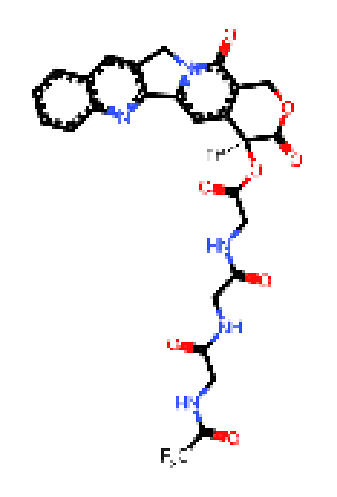 CC[C@@]1(OC(=O)CNC(=O)CNC(=O)CNC(=O)C(F)(F)F)C(=O)OCc2c1cc1n(c2=O)Cc2cc3ccccc3nc2-1